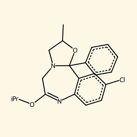 CC(C)OC1=Nc2ccc(Cl)cc2C2(c3ccccc3)OC(C)CN2C1